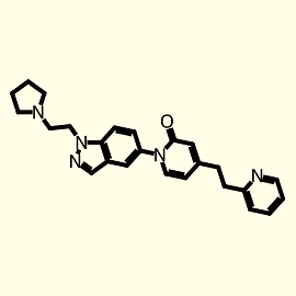 O=c1cc(CCc2ccccn2)ccn1-c1ccc2c(cnn2CCN2CCCC2)c1